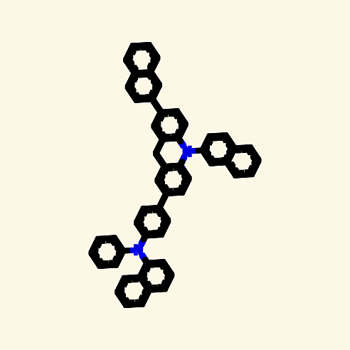 c1ccc(N(c2ccc(-c3ccc4c(c3)Cc3cc(-c5ccc6ccccc6c5)ccc3N4c3ccc4ccccc4c3)cc2)c2cccc3ccccc23)cc1